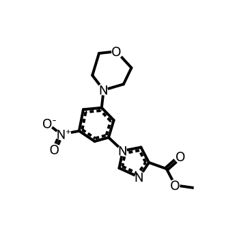 COC(=O)c1cn(-c2cc(N3CCOCC3)cc([N+](=O)[O-])c2)cn1